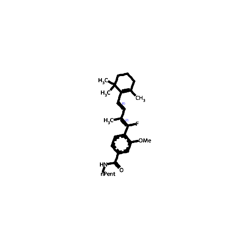 CCCCCNC(=O)c1ccc(/C(F)=C(C)/C=C/C2=C(C)CCCC2(C)C)c(OC)c1